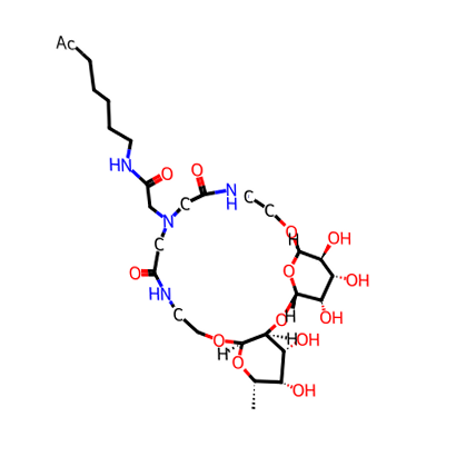 CC(=O)CCCCCNC(=O)CN1CC(=O)NCCO[C@@H]2O[C@@H](O[C@@H]3[C@H](OCCNC(=O)C1)O[C@@H](C)[C@@H](O)[C@H]3O)[C@@H](O)[C@@H](O)[C@@H]2O